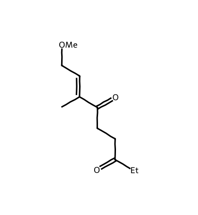 CCC(=O)CCC(=O)/C(C)=C/COC